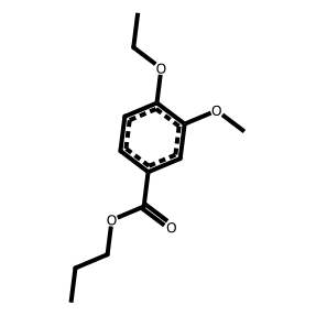 CCCOC(=O)c1ccc(OCC)c(OC)c1